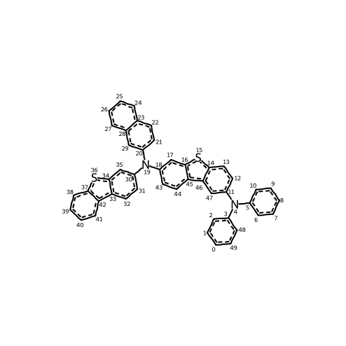 c1ccc(N(c2ccccc2)c2ccc3sc4cc(N(c5ccc6ccccc6c5)c5ccc6c(c5)sc5ccccc56)ccc4c3c2)cc1